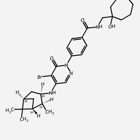 C[C@H]1[C@H]2C[C@H](C[C@H]1Nc1cnn(-c3ccc(C(=O)NCC4(O)CCCCCC4)cc3)c(=O)c1Br)C2(C)C